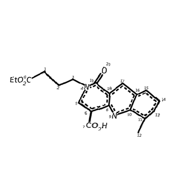 CCOC(=O)CCCn1cc(C(=O)O)c2nc3c(C)cccc3cc2c1=O